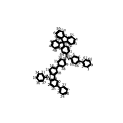 c1ccc(-c2ccc(N(c3ccc(-c4ccc5c(c4)c4cc(-c6ccccc6)ccc4n5-c4ccccc4)cc3)c3ccc(C4(c5ccccc5)c5ccccc5-c5ccccc54)cc3)cc2)cc1